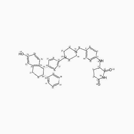 O=C1CCC(Nc2ccc(CN3CCN(c4ccc([C@H]5c6ccc(O)cc6CC[C@H]5c5ccccc5)cc4)CC3)cc2)C(=O)N1